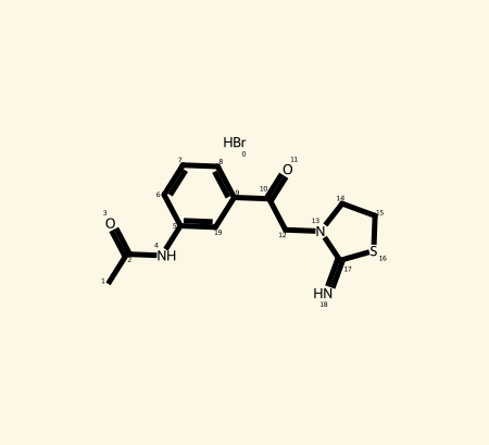 Br.CC(=O)Nc1cccc(C(=O)CN2CCSC2=N)c1